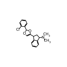 CN(C)C1CC(C2=COC(c3ccccc3Cl)O2)c2ccccc21